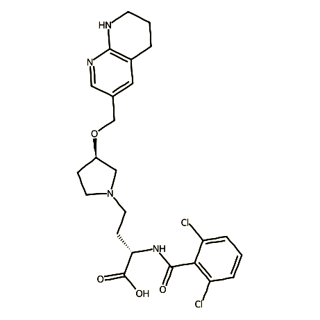 O=C(N[C@@H](CCN1CC[C@@H](OCc2cnc3c(c2)CCCN3)C1)C(=O)O)c1c(Cl)cccc1Cl